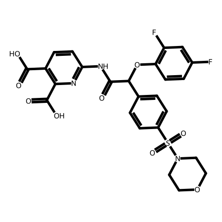 O=C(O)c1ccc(NC(=O)C(Oc2ccc(F)cc2F)c2ccc(S(=O)(=O)N3CCOCC3)cc2)nc1C(=O)O